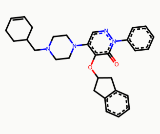 O=c1c(OC2Cc3ccccc3C2)c(N2CCN(CC3CC=CCC3)CC2)cnn1-c1ccccc1